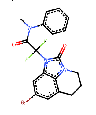 CN(C(=O)C(F)(F)n1c(=O)n2c3c(cc(Br)cc31)CCC2)c1ccccc1